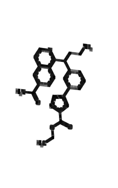 CCOC(=O)c1cc(-c2cccc(C(CCN)c3nccc4cc(C(N)=O)ccc34)c2)cs1